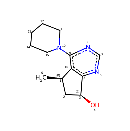 C[C@@H]1C[C@H](O)c2ncnc(N3CCCCC3)c21